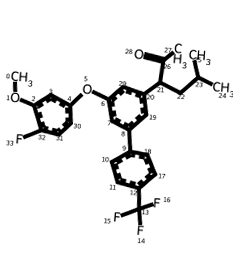 COc1cc(Oc2cc(-c3ccc(C(F)(F)F)cc3)cc(C(CC(C)C)C(C)=O)c2)ccc1F